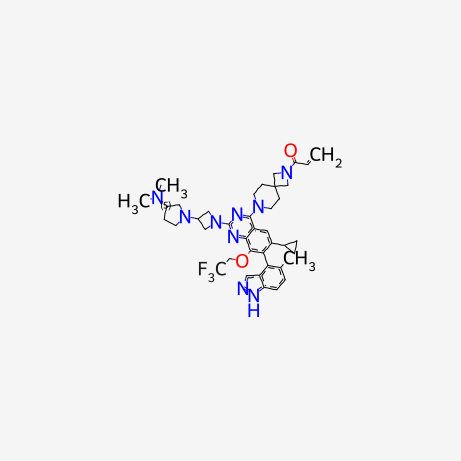 C=CC(=O)N1CC2(CCN(c3nc(N4CC(N5CC[C@H](N(C)C)C5)C4)nc4c(OCC(F)(F)F)c(-c5c(C)ccc6[nH]ncc56)c(C5CC5)cc34)CC2)C1